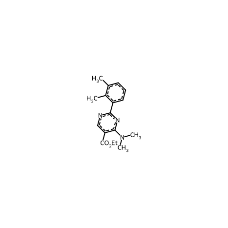 CCOC(=O)c1cnc(-c2cccc(C)c2C)nc1N(C)C